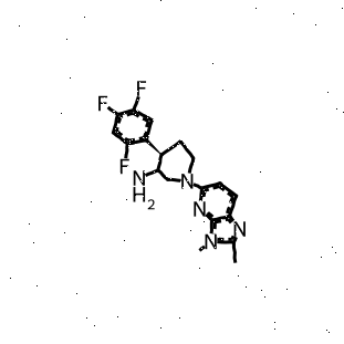 Cc1nc2ccc(N3CC[C@H](c4cc(F)c(F)cc4F)C(N)C3)nc2n1C